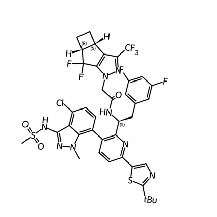 Cn1nc(NS(C)(=O)=O)c2c(Cl)ccc(-c3ccc(-c4cnc(C(C)(C)C)s4)nc3[C@H](Cc3cc(F)cc(F)c3)NC(=O)Cn3nc(C(F)(F)F)c4c3C(F)(F)[C@@H]3CC[C@H]43)c21